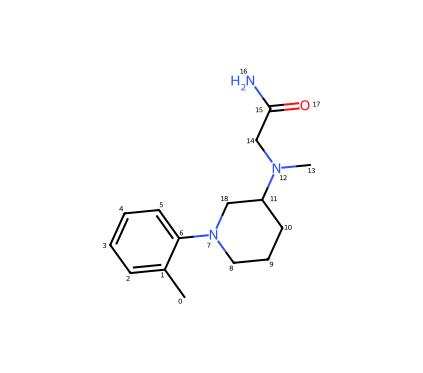 Cc1ccccc1N1CCCC(N(C)CC(N)=O)C1